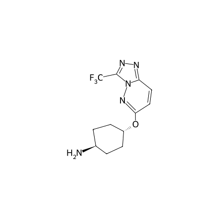 N[C@H]1CC[C@H](Oc2ccc3nnc(C(F)(F)F)n3n2)CC1